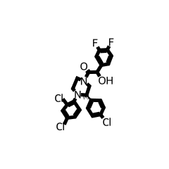 O=C(C(O)c1ccc(F)c(F)c1)N1CCN(c2ccc(Cl)cc2Cl)[C@H](c2ccc(Cl)cc2)C1